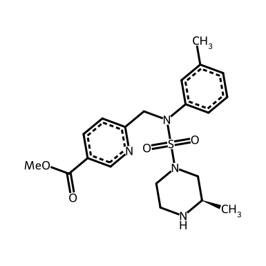 COC(=O)c1ccc(CN(c2cccc(C)c2)S(=O)(=O)N2CCN[C@H](C)C2)nc1